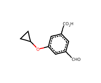 O=Cc1cc(OC2CC2)cc(C(=O)O)c1